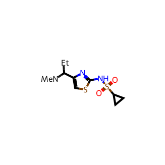 CCC(NC)c1csc(NS(=O)(=O)C2CC2)n1